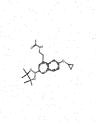 CC(=O)NCCc1cc(B2OC(C)(C)C(C)(C)O2)cc2ccc(OC3CC3)cc12